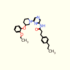 CCCc1ccc(CCC(=O)Nc2cncc(N3CCCC(Oc4ccccc4OCC)C3)n2)cc1